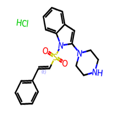 Cl.O=S(=O)(/C=C/c1ccccc1)n1c(N2CCNCC2)cc2ccccc21